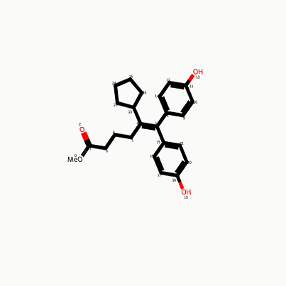 COC(=O)CCCC(=C(c1ccc(O)cc1)c1ccc(O)cc1)C1CCCC1